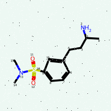 CC(N)CCc1cccc(S(=O)(=O)N(C)C)c1